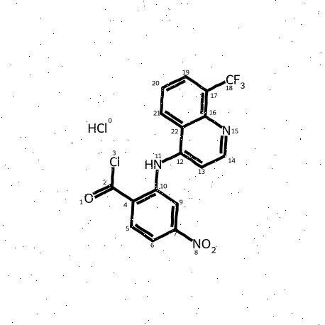 Cl.O=C(Cl)c1ccc([N+](=O)[O-])cc1Nc1ccnc2c(C(F)(F)F)cccc12